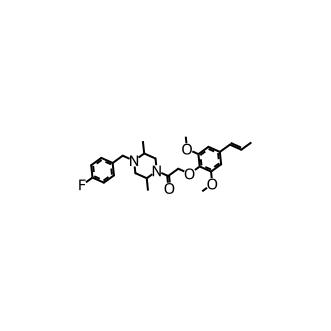 CC=Cc1cc(OC)c(OCC(=O)N2CC(C)N(Cc3ccc(F)cc3)CC2C)c(OC)c1